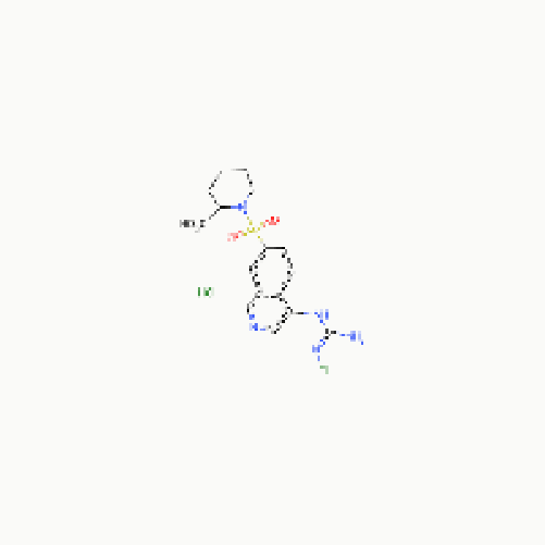 Cl.NC(=NCl)Nc1cncc2cc(S(=O)(=O)N3CCCCC3C(=O)O)ccc12